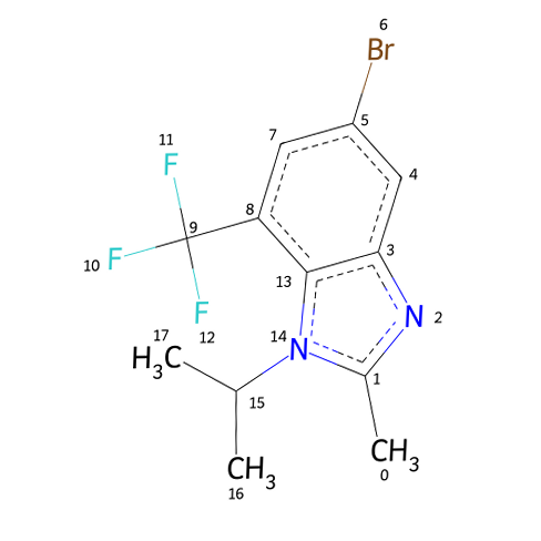 Cc1nc2cc(Br)cc(C(F)(F)F)c2n1C(C)C